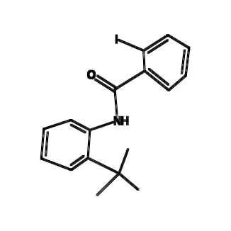 CC(C)(C)c1ccccc1NC(=O)c1ccccc1I